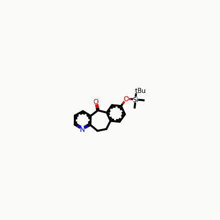 CC(C)(C)[Si](C)(C)Oc1ccc2c(c1)C(=O)c1cccnc1CC2